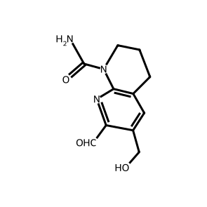 NC(=O)N1CCCc2cc(CO)c(C=O)nc21